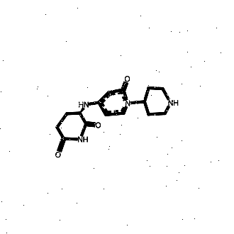 O=C1CC[C@@H](Nc2ccn(C3CCNCC3)c(=O)c2)C(=O)N1